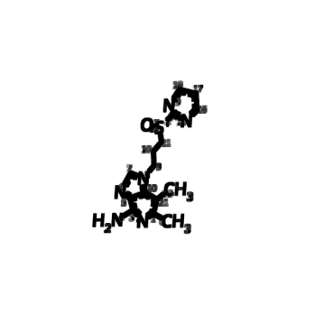 Cc1nc(N)c2ncn(CCC[S+]([O-])c3ncccn3)c2c1C